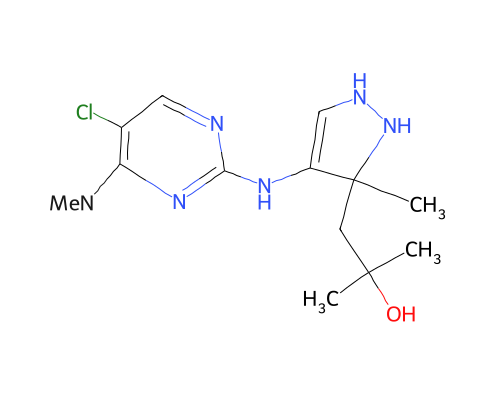 CNc1nc(NC2=CNNC2(C)CC(C)(C)O)ncc1Cl